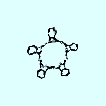 c1ccc2c(c1)-c1nc3nc(nc4[nH]c(nc5nc(nc6[nH]c(nc-2n1)c1ccccc61)-c1ccccc1-5)c1ccccc41)-c1ccccc1-3